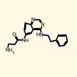 NCCC(=O)Nc1ccc2ncnc(NCCc3ccccc3)c2c1